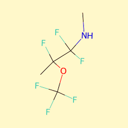 CNC(F)(F)C(C)(F)OC(F)(F)F